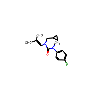 CN(C(=O)N(C=C(C=O)C=O)CC1CC1)c1ccc(F)cc1